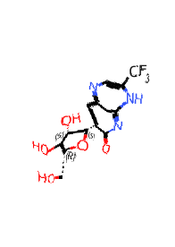 O=c1nc2[nH]c(C(F)(F)F)cnc-2cc1[C@@H]1O[C@H](CO)C(O)[C@@H]1O